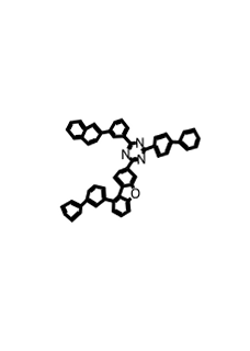 c1ccc(-c2ccc(-c3nc(-c4cccc(-c5ccc6ccccc6c5)c4)nc(-c4ccc5c(c4)oc4cccc(-c6cccc(-c7ccccc7)c6)c45)n3)cc2)cc1